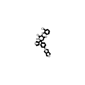 O=C1CC(c2ccc(N3CC4COCC4C3)cc2)(c2ccsc2)NC(=O)C1Sc1ccccc1Cl